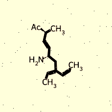 C/C=C\C(=C/C)C[C@H](N)/C=C/[C@H](C)C(C)=O